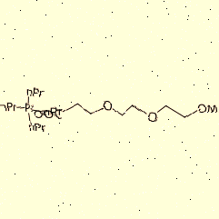 CCC[P+](CCC)(CCC)CCC.COCCOCCOCCC(=O)[O-]